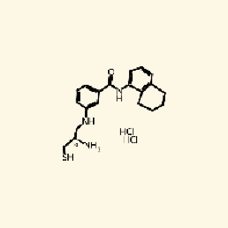 Cl.Cl.N[C@@H](CS)CNc1cccc(C(=O)Nc2cccc3c2CCCC3)c1